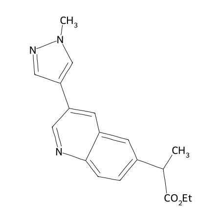 CCOC(=O)C(C)c1ccc2ncc(-c3cnn(C)c3)cc2c1